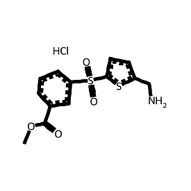 COC(=O)c1cccc(S(=O)(=O)c2ccc(CN)s2)c1.Cl